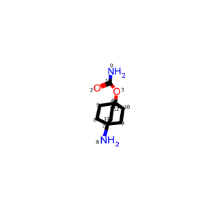 NC(=O)OC12CCC(N)(CC1)CC2